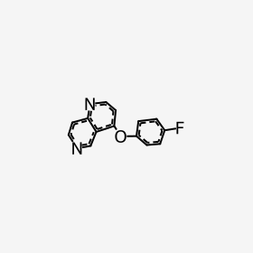 Fc1ccc(Oc2ccnc3ccncc23)cc1